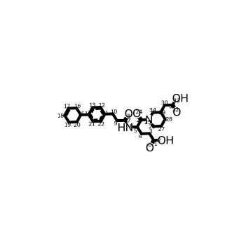 O=C(O)CCC(NC(=O)CCc1ccc(C2CC=CCC2)cc1)C(=O)N1CCCC(CC(=O)O)C1